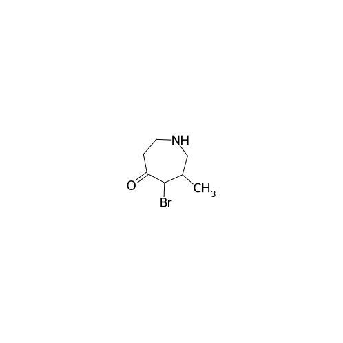 CC1CNCCC(=O)C1Br